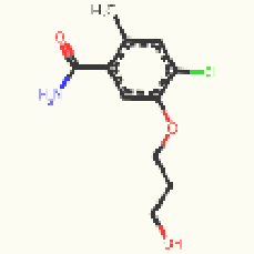 Cc1cc(Cl)c(OCCCO)cc1C(N)=O